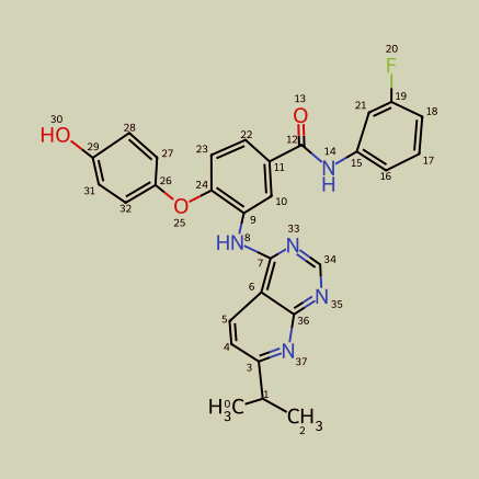 CC(C)c1ccc2c(Nc3cc(C(=O)Nc4cccc(F)c4)ccc3Oc3ccc(O)cc3)ncnc2n1